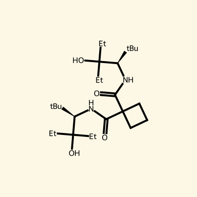 CCC(O)(CC)[C@H](NC(=O)C1(C(=O)N[C@H](C(C)(C)C)C(O)(CC)CC)CCC1)C(C)(C)C